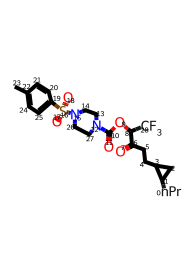 CCCC1CC1CCC(=O)C(OC(=O)N1CCN(S(=O)(=O)c2ccc(C)cc2)CC1)C(F)(F)F